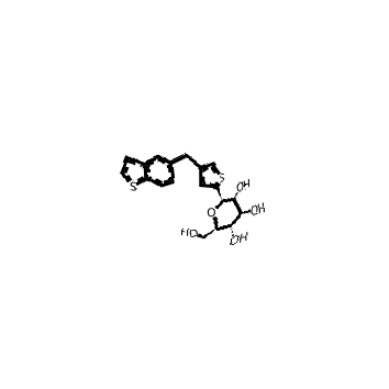 OC[C@H]1O[C@@H](c2cc(Cc3ccc4sccc4c3)cs2)[C@H](O)[C@@H](O)[C@@H]1O